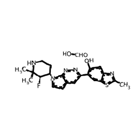 Cc1nc2cc(O)c(-c3cc4ccn([C@@H]5CCNC(C)(C)[C@@H]5F)c4nn3)cc2s1.O=CO